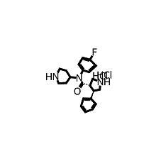 Cl.Cl.O=C([C@@H]1CNC[C@H]1c1ccccc1)N(c1ccc(F)cc1)C1CCNCC1